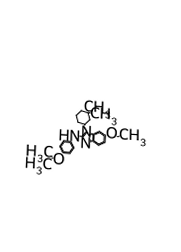 CCOc1ccc2nc(Nc3ccc(OC(C)C)cc3)n([C@H]3CCCC(C)(C)C3)c2c1